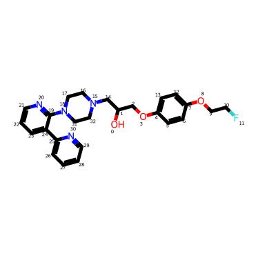 OC(COc1ccc(OCCF)cc1)CN1CCN(c2ncccc2-c2ccccn2)CC1